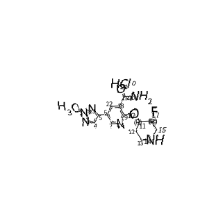 Cl.Cn1ncc(-c2cnc(O[C@@H]3CCNC[C@H]3F)c(C(N)=O)c2)n1